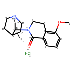 COc1cccc2c1CCN([C@@H]1CN3CCC1CC3)C2=O.Cl